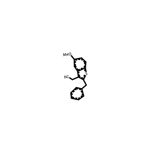 COc1ccc2sc(Cc3ccccc3)c(CC#N)c2c1